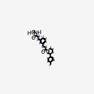 Cc1ccc(C2CCCN(C(=O)/C=C/c3cccc(/C=C/C(=O)NO)c3)C2)cc1